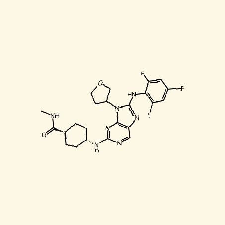 CNC(=O)[C@H]1CC[C@H](Nc2ncc3nc(Nc4c(F)cc(F)cc4F)n(C4CCOC4)c3n2)CC1